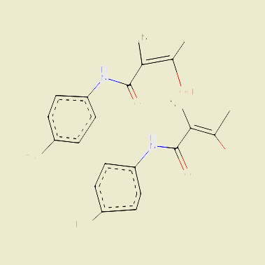 C/C(O)=C(\C#N)C(=O)Nc1ccc(C(F)(F)F)cc1.C/C(O)=C(\C#N)C(=O)Nc1ccc(C(F)(F)F)cc1